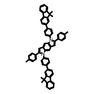 Cc1ccc(-c2cc3cc4c(cc(-c5ccc(C)cc5)n4-c4ccc(-c5ccc6c(c5)C(C)(C)c5ccccc5-6)cc4)cc3n2-c2ccc(-c3ccc4c(c3)C(C)(C)c3ccccc3-4)cc2)cc1